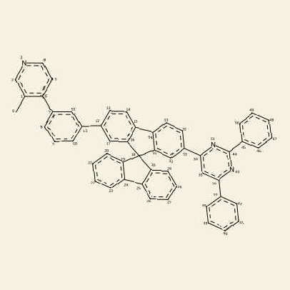 Cc1cnccc1-c1cccc(-c2ccc3c(c2)C2(c4ccccc4-c4ccccc42)c2cc(-c4cc(-c5ccccc5)nc(-c5ccccc5)n4)ccc2-3)c1